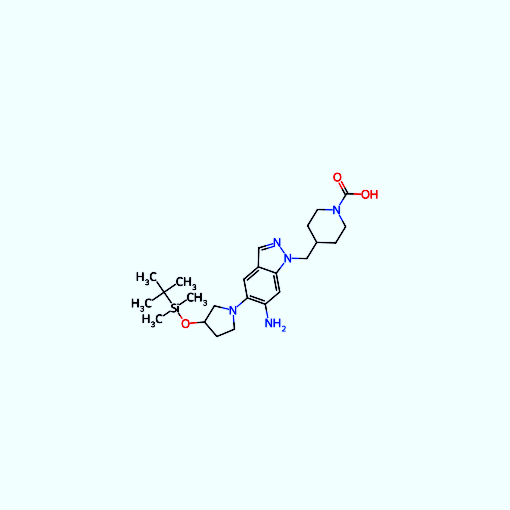 CC(C)(C)[Si](C)(C)OC1CCN(c2cc3cnn(CC4CCN(C(=O)O)CC4)c3cc2N)C1